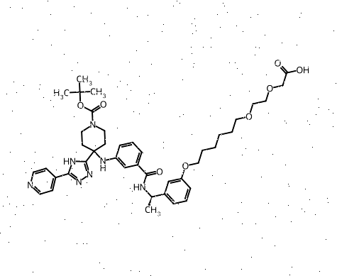 C[C@@H](NC(=O)c1cccc(NC2(c3nnc(-c4ccncc4)[nH]3)CCN(C(=O)OC(C)(C)C)CC2)c1)c1cccc(OCCCCCCOCCOCC(=O)O)c1